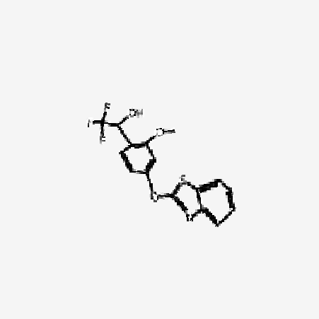 COc1cc(Oc2nc3ccccc3s2)ccc1C(O)C(F)(F)F